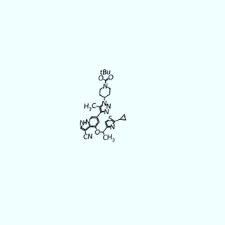 Cc1c(-c2cc(OC(C)c3csc(C4CC4)n3)c3c(C#N)cnn3c2)nnn1C1CCN(C(=O)OC(C)(C)C)CC1